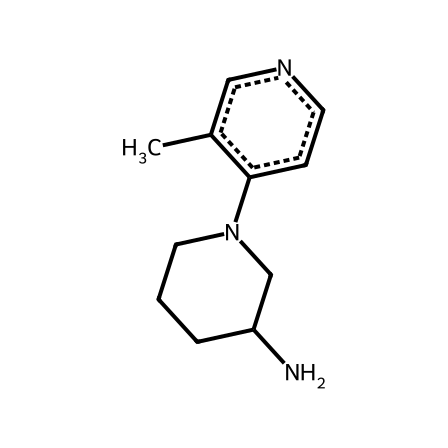 Cc1cnccc1N1CCCC(N)C1